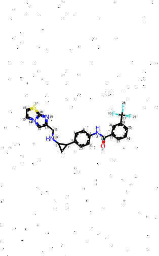 O=C(Nc1ccc(C2CC2NCc2cn3ccsc3n2)cc1)c1cccc(C(F)(F)F)c1